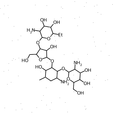 CCC1OC(OC2C(CO)OC(OC3C(O)C(C)CC(N)C3OC3OC(CO)C(O)C(O)C3N)C2O)C(N)C(O)C1O